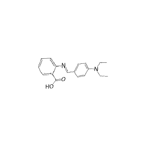 CCN(CC)c1ccc(C=Nc2ccccc2C(=O)O)cc1